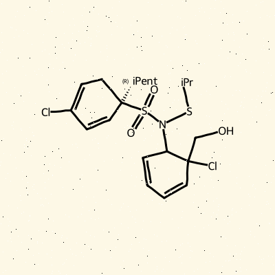 CCC[C@@H](C)C1(S(=O)(=O)N(SC(C)C)C2C=CC=CC2(Cl)CO)C=CC(Cl)=CC1